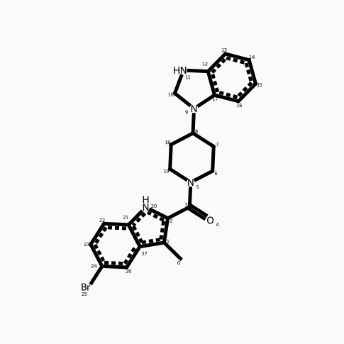 Cc1c(C(=O)N2CCC(N3[CH]Nc4ccccc43)CC2)[nH]c2ccc(Br)cc12